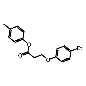 CCc1ccc(OCCC(=O)Oc2ccc(C)cc2)cc1